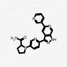 NC(=O)C1CCCN1c1ccc(-c2n[nH]c3cnc(-c4cccnc4)cc23)nc1